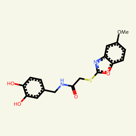 COc1ccc2oc(SCC(=O)NCc3ccc(O)c(O)c3)nc2c1